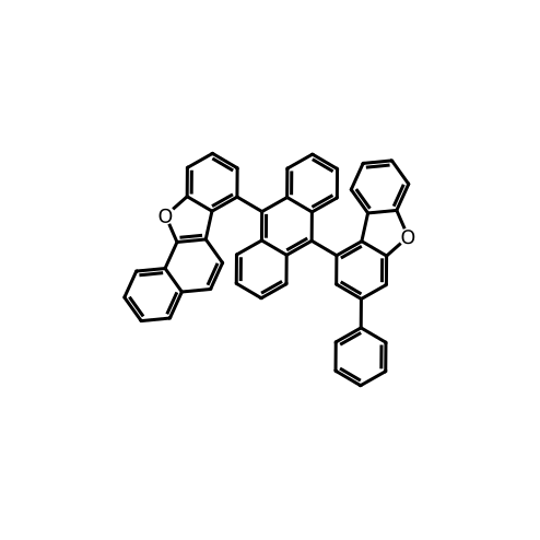 c1ccc(-c2cc(-c3c4ccccc4c(-c4cccc5oc6c7ccccc7ccc6c45)c4ccccc34)c3c(c2)oc2ccccc23)cc1